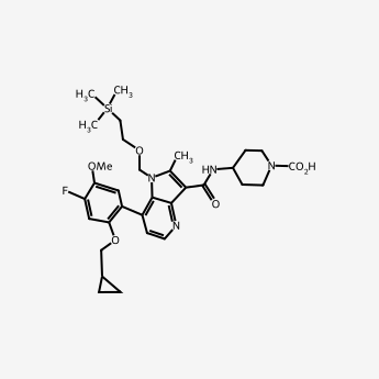 COc1cc(-c2ccnc3c(C(=O)NC4CCN(C(=O)O)CC4)c(C)n(COCC[Si](C)(C)C)c23)c(OCC2CC2)cc1F